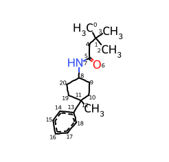 CC(C)(C)CC(=O)NC1CCC(C)(c2ccccc2)CC1